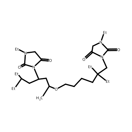 CCC(CC)CC(CC(C)OCCCCC(CC)(CC)CN1C(=O)CN(CC)C1=O)N1C(=O)CN(CC)C1=O